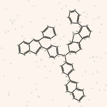 c1ccc(-c2cc3ccccc3cc2-c2ccc(N(c3ccc(-c4ccc5ccccc5c4)cc3)c3ccc4c(c3)oc3c(-c5ccccc5)cccc34)cc2)cc1